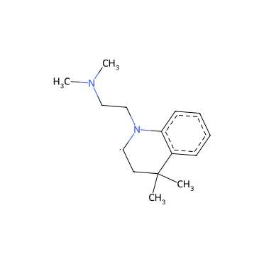 CN(C)CCN1[CH]CC(C)(C)c2ccccc21